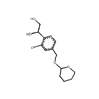 OCC(O)c1ncc(COC2CCCCO2)cc1Cl